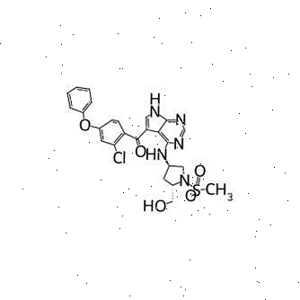 CS(=O)(=O)N1C[C@H](Nc2ncnc3[nH]cc(C(=O)c4ccc(Oc5ccccc5)cc4Cl)c23)C[C@H]1CO